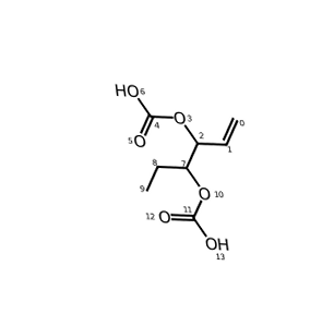 C=CC(OC(=O)O)C(CC)OC(=O)O